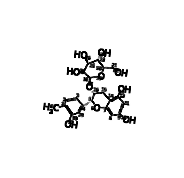 Cc1ccc([C@H]2Oc3cc(O)cc(O)c3C[C@H]2O[C@@H]2OC(CO)[C@@H](O)[C@H](O)C2O)cc1O